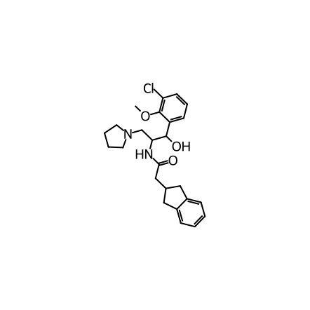 COc1c(Cl)cccc1C(O)C(CN1CCCC1)NC(=O)CC1Cc2ccccc2C1